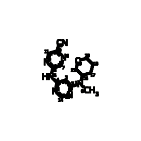 CN(c1cc(Nc2cnc(C#N)cn2)ncn1)C1CCCOC1